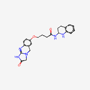 O=C1CN2Cc3cc(OCCCC(=O)NC4CCc5ccccc5N4)ccc3N=C2N1